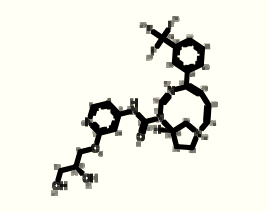 O=C(Nc1ccnc(OC[C@@H](O)CO)c1)N1C=NC(c2cccc(C(F)(F)F)c2)=CC=CN2CC[C@H]1C2